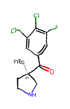 CCCC[C@@]1(C(=O)c2cc(F)c(Cl)c(Cl)c2)CCNC1